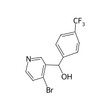 OC(c1ccc(C(F)(F)F)cc1)c1cnccc1Br